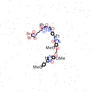 CC/C(=C\N1CC=Nc2cc(OCCCOc3cc4c(cc3OC)C(=O)N3C=C(c5ccc(OC)cc5)C[C@H]3C=N4)c(OC)cc2C1=O)c1ccc(NC(=O)[C@@H](C)NC(=O)[C@H](NC(=O)CCCCCN2C(=O)C(Br)=C(Br)C2=O)C(C)C)cc1